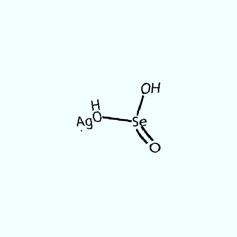 O=[Se](O)O.[Ag]